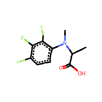 CC(C(=O)O)N(C)c1ccc(F)c(F)c1F